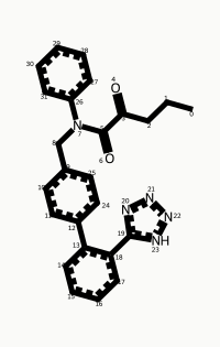 CCCC(=O)C(=O)N(Cc1ccc(-c2ccccc2-c2nnn[nH]2)cc1)c1ccccc1